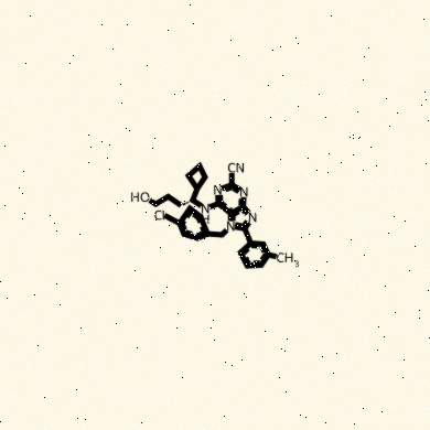 Cc1cccc(-c2nc3nc(C#N)nc(N[C@H](CCCO)C4CCC4)c3n2Cc2ccc(Cl)cc2)c1